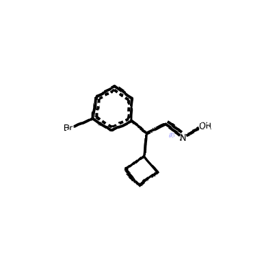 O/N=C/C(c1cccc(Br)c1)C1CCC1